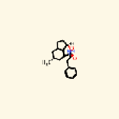 C[C@H]1CC2CC[C@H]3OC(=O)C(C1)[C@@]23NCCc1ccccc1